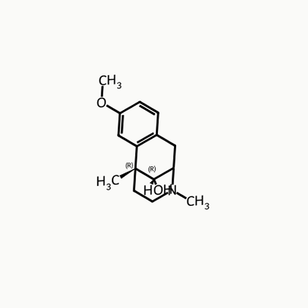 COc1ccc2c(c1)[C@@]1(C)CCN(C)C(C2)[C@@H]1O